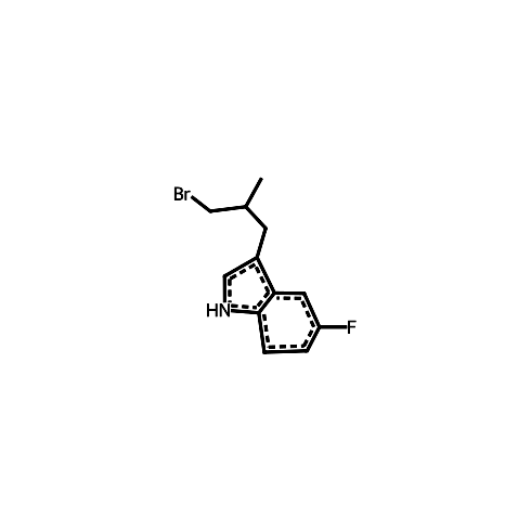 CC(CBr)Cc1c[nH]c2ccc(F)cc12